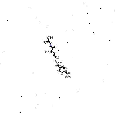 O=C(O)/C=C/C(=O)N(O)CCCCNCc1ccc(CO)cc1